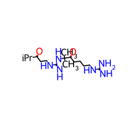 CC(C)C(=O)CCNC(=N)NC(C)(C)C(=O)CCCCNC(=N)N